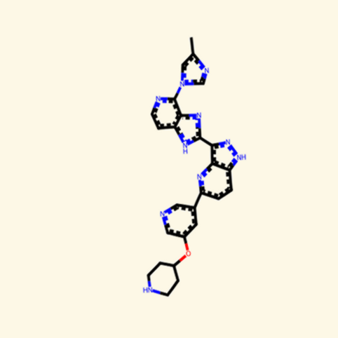 Cc1cn(-c2nccc3[nH]c(-c4n[nH]c5ccc(-c6cncc(OC7CCNCC7)c6)nc45)nc23)cn1